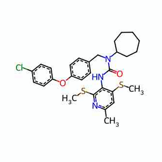 CSc1cc(C)nc(SC)c1NC(=O)N(Cc1ccc(Oc2ccc(Cl)cc2)cc1)C1CCCCCC1